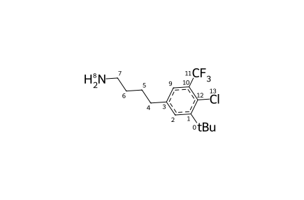 CC(C)(C)c1cc(CCCCN)cc(C(F)(F)F)c1Cl